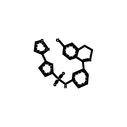 O=S(=O)(Nc1cccc(C2=NCCc3cc(Cl)ccc32)c1)c1ccc(-c2ccon2)s1